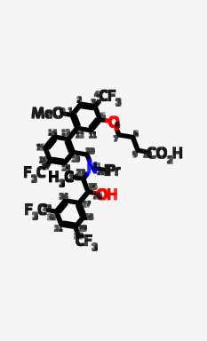 COc1cc(C(F)(F)F)c(OCCCC(=O)O)cc1-c1ccc(C(F)(F)F)cc1CN(C(C)C)C(C)C(O)c1cc(C(F)(F)F)cc(C(F)(F)F)c1